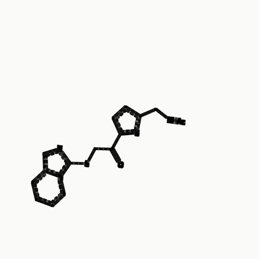 CC(=O)NCc1ccc(C(=O)CSc2ncc3ccccn23)s1